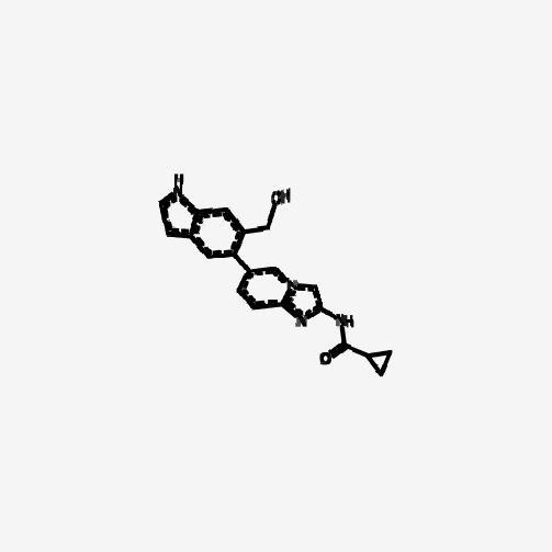 O=C(Nc1cn2cc(-c3cc4cc[nH]c4cc3CO)ccc2n1)C1CC1